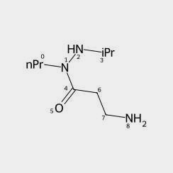 CCCN(NC(C)C)C(=O)CCN